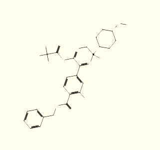 CS[C@H]1CC[C@@H](C2(C)CN=C(NC(=O)C(C)(C)C)C(c3ccc(C(=O)NCc4ccccc4)c(F)c3)=N2)CC1